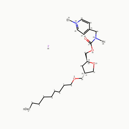 CCCCCCCCCCCCCCCCCCOC[C@H]1CO[C@H](COC(=O)N(Cc2cc[n+](CC)cc2)C(C)=O)C1.[I-]